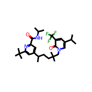 CC(C)NC(=O)c1cc(C(C)CCC(C)(C)Cn2cc(C(C)C)cc(C(F)(F)F)c2=O)cc(C(C)(C)C)n1